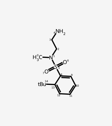 CN(CCN)S(=O)(=O)c1ccccc1C(C)(C)C